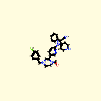 N#CC(c1ccccc1)C1(Nc2ccc(C3CN(Cc4ccc(F)cc4)CCN3C=O)cn2)CCNCC1